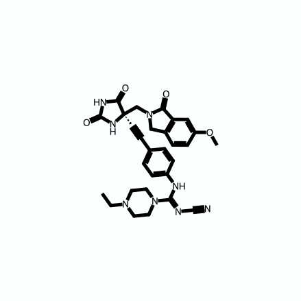 CCN1CCN(/C(=N/C#N)Nc2ccc(C#C[C@]3(CN4Cc5ccc(OC)cc5C4=O)NC(=O)NC3=O)cc2)CC1